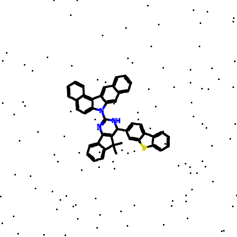 CC1(C)C2=C(N=C(n3c4cc5ccccc5cc4c4c5ccccc5ccc43)NC2c2ccc3c(c2)sc2ccccc23)c2ccccc21